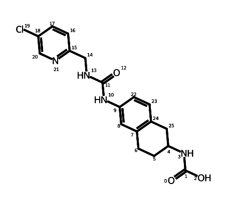 O=C(O)NC1CCc2cc(NC(=O)NCc3ccc(Cl)cn3)ccc2C1